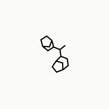 CC(C1CCC2CCC1C2)C1CC2CCC1C2